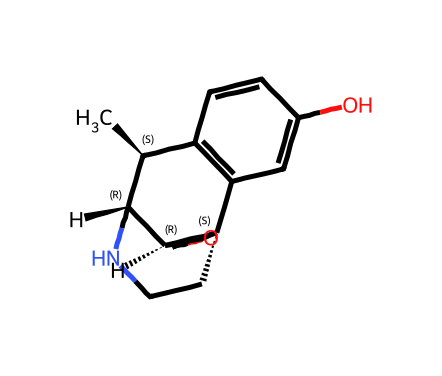 C[C@H]1c2ccc(O)cc2[C@]23CCN[C@H]1[C@@H]2CCOC3